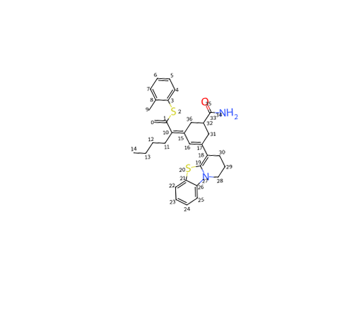 C=C(Sc1ccccc1C)/C(CCCC)=C1/C=C(C2=C3Sc4ccccc4N3CCC2)CC(C(N)=O)C1